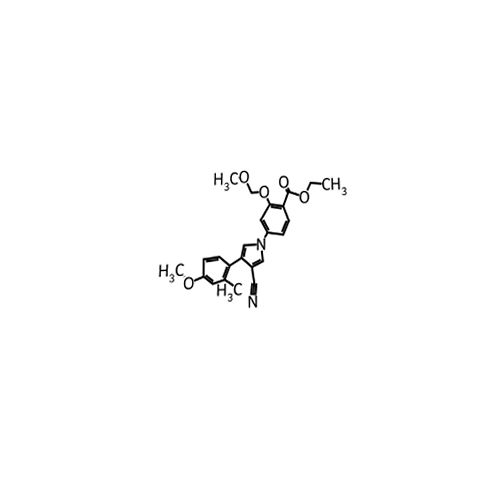 CCOC(=O)c1ccc(-n2cc(C#N)c(-c3ccc(OC)cc3C)c2)cc1OCOC